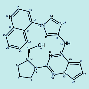 OC[C@@H]1CCCN1c1nc(Nc2cn(-c3ccnc4ccccc34)cn2)c2cccn2n1